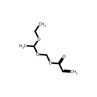 C=CC(=O)OCOC(C)OCC